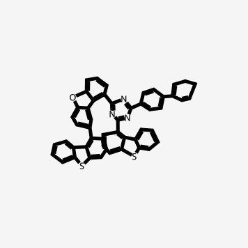 C1=CC(c2ccc(-c3nc(-c4cccc5oc6ccc(-c7cccc8sc9ccccc9c78)cc6c45)nc(-c4cccc5sc6ccccc6c45)n3)cc2)=CCC1